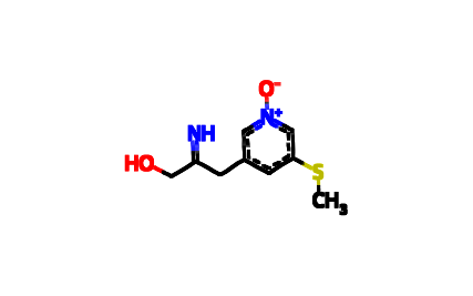 CSc1cc(CC(=N)CO)c[n+]([O-])c1